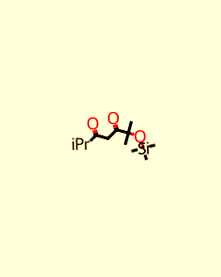 CC(C)C(=O)CC(=O)C(C)(C)O[Si](C)(C)C